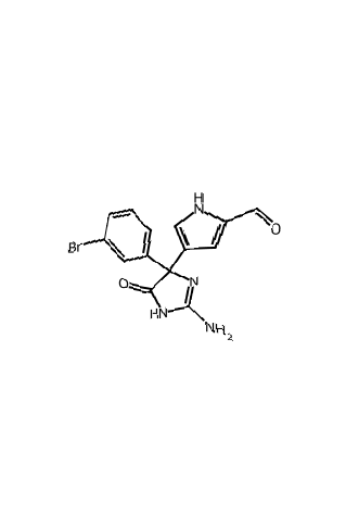 NC1=NC(c2cccc(Br)c2)(c2c[nH]c(C=O)c2)C(=O)N1